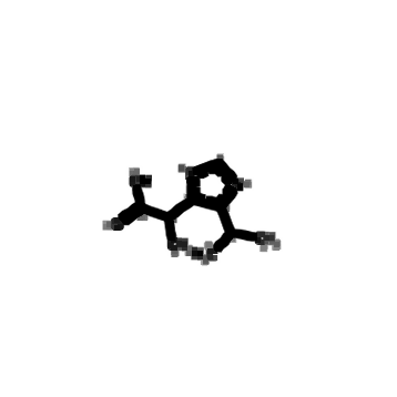 CC(C)c1n[c]sc1C(C)C(=O)O